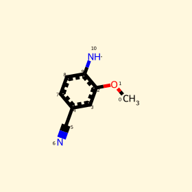 COc1cc(C#N)ccc1[NH]